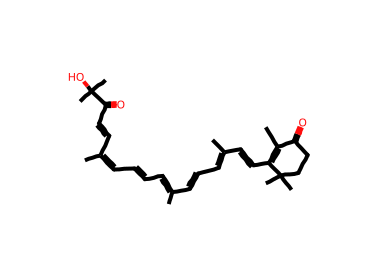 CC(C=CC=C(C)C=CC1=C(C)C(=O)CCC1(C)C)=CC=CC=C(C)C=CC(=O)C(C)(C)O